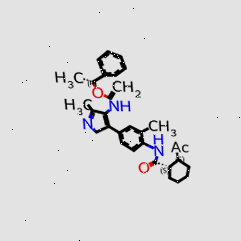 C=C(NC1=C(c2ccc(NC(=O)[C@H]3CCCC[C@@H]3C(C)=O)c(C)c2)CN=C1C)O[C@H](C)c1ccccc1